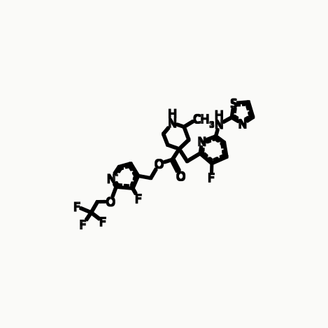 CC1CC(Cc2nc(Nc3nccs3)ccc2F)(C(=O)OCc2ccnc(OCC(F)(F)F)c2F)CCN1